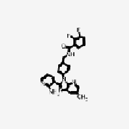 Cc1cnc2c(c1)nc(-c1cccnc1N)n2-c1ccc(CNC(=O)c2cccc(F)c2F)cc1